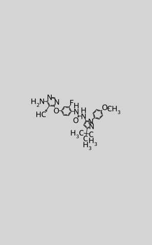 C#Cc1c(N)ncnc1Oc1ccc(NC(=O)Nc2cc(C(C)(C)C)nn2-c2ccc(OC)cc2)c(F)c1